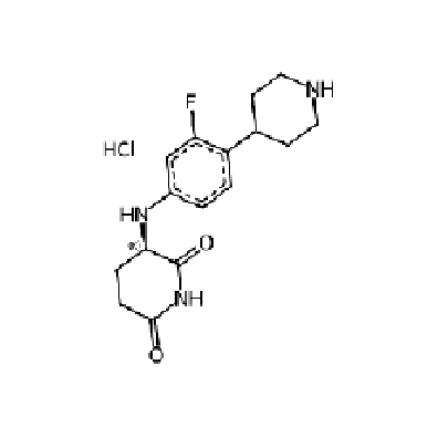 Cl.O=C1CC[C@@H](Nc2ccc(C3CCNCC3)c(F)c2)C(=O)N1